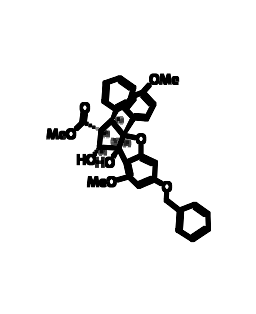 COC(=O)[C@H]1[C@@H](O)[C@@]2(O)c3c(OC)cc(OCc4ccccc4)cc3O[C@@]2(c2ccc(OC)cc2)[C@@H]1c1ccccc1